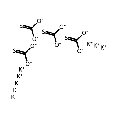 [K+].[K+].[K+].[K+].[K+].[K+].[K+].[K+].[O-]C([O-])=S.[O-]C([O-])=S.[O-]C([O-])=S.[O-]C([O-])=S